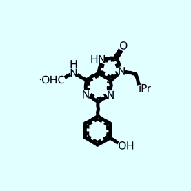 CC(C)Cn1c(=O)[nH]c2c(N[C]=O)nc(-c3cccc(O)c3)nc21